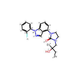 CCC(O)(CC(C)C)CN1CCN(c2cccc3c2cnn3-c2ccccc2F)C1=O